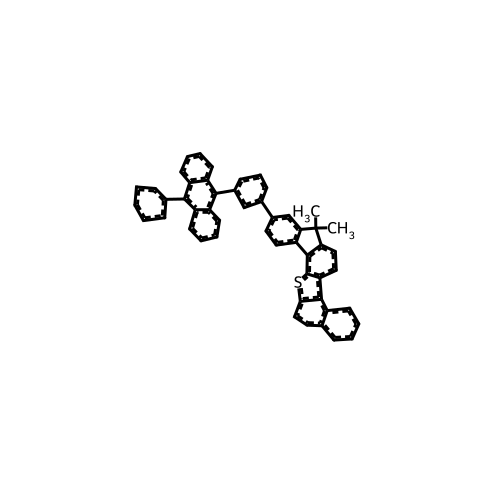 CC1(C)c2cc(-c3cccc(-c4c5ccccc5c(-c5ccccc5)c5ccccc45)c3)ccc2-c2c1ccc1c2sc2ccc3ccccc3c21